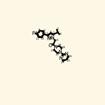 CC(C)c1cc(-c2ccc(F)cc2)nn1CC(=O)N1CCN(c2ncccn2)CC1